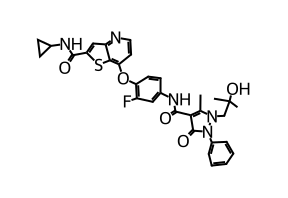 Cc1c(C(=O)Nc2ccc(Oc3ccnc4cc(C(=O)NC5CC5)sc34)c(F)c2)c(=O)n(-c2ccccc2)n1CC(C)(C)O